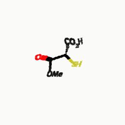 COC(=O)[C@@H](S)C(=O)O